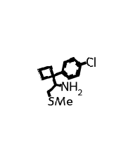 CSCC(N)C1(c2ccc(Cl)cc2)CCC1